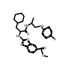 COC(=O)c1ccc2nc(NC(CC3CCCCC3)C(=O)NC(C)CNc3ccc(F)cc3)oc2c1